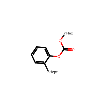 CCCCCCCc1ccccc1OC(=O)OCCCCCC